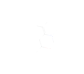 C/C(C(=O)O)=C(/CC(C)O)N(C)C